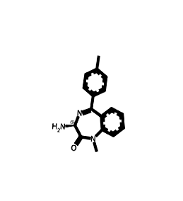 Cc1ccc(C2=N[C@H](N)C(=O)N(C)c3ccccc32)cc1